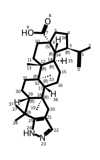 C=C(C)[C@@H]1CC[C@]2(C(=O)O)CC[C@]3(C)[C@H](CC[C@@H]4[C@@]5(C)Cc6cn[nH]c6C(C)(C)[C@@H]5CC[C@]43C)[C@@H]12